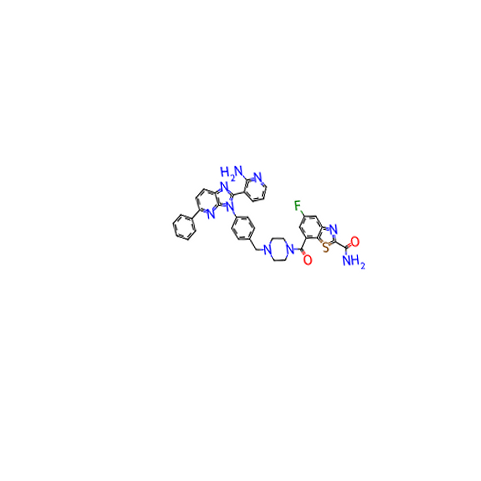 NC(=O)c1nc2cc(F)cc(C(=O)N3CCN(Cc4ccc(-n5c(-c6cccnc6N)nc6ccc(-c7ccccc7)nc65)cc4)CC3)c2s1